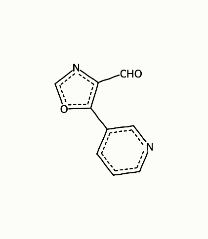 O=Cc1ncoc1-c1cccnc1